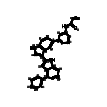 CCCCC(=O)Nc1cncc(-c2ccc3[nH]nc(-c4cc5c(-c6ccncc6)cncc5[nH]4)c3c2)c1